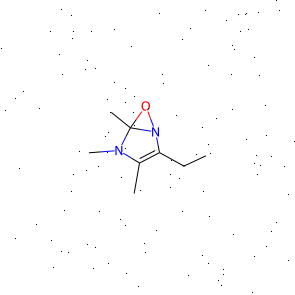 CCC1=C(C)N(C)C2(C)ON12